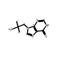 CC(C)(N)Cn1cnc2c(=O)[nH]cnc21